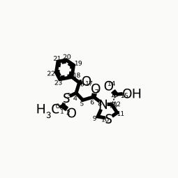 CC(=O)SC(CC(=O)N1CSC[C@H]1C(=O)O)C(=O)c1ccccc1